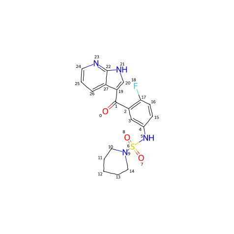 O=C(c1cc(NS(=O)(=O)N2CCCCC2)ccc1F)c1c[nH]c2ncccc12